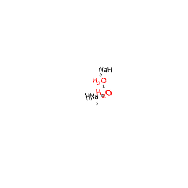 O.O.[NaH].[NaH]